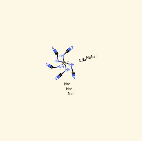 N#C[NH][Fe-7]([NH]C#N)([NH]C#N)([NH]C#N)[NH]C#N.[Na+].[Na+].[Na+].[Na+].[Na+].[Na+].[Na+]